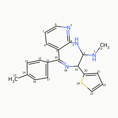 CNC1Nc2ncccc2C(c2ccc(C)cc2)=NC1c1cccs1